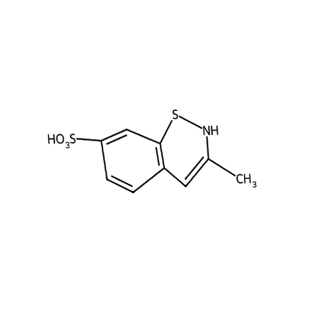 CC1=Cc2ccc(S(=O)(=O)O)cc2SN1